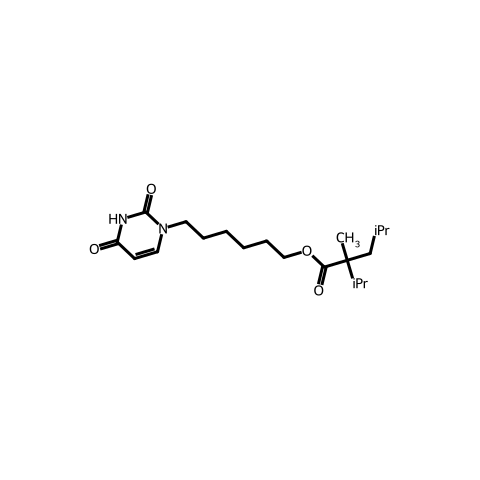 CC(C)CC(C)(C(=O)OCCCCCCn1ccc(=O)[nH]c1=O)C(C)C